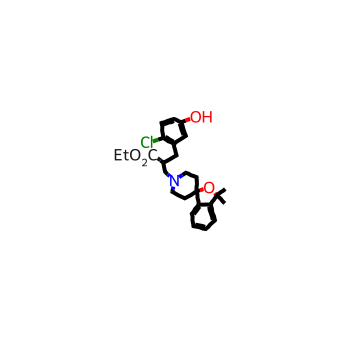 CCOC(=O)C(Cc1cc(O)ccc1Cl)CN1CCC2(CC1)OC(C)(C)c1ccccc12